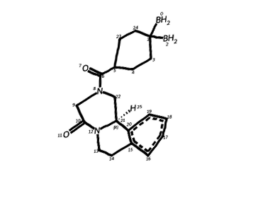 BC1(B)CCC(C(=O)N2CC(=O)N3CCc4ccccc4[C@@H]3C2)CC1